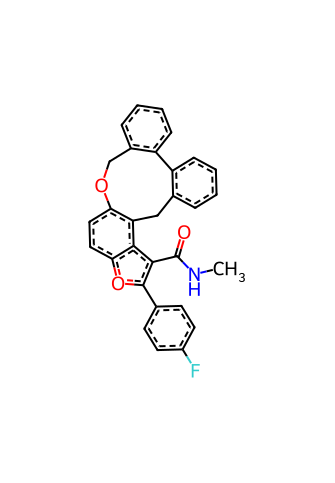 CNC(=O)c1c(-c2ccc(F)cc2)oc2ccc3c(c12)Cc1ccccc1-c1ccccc1CO3